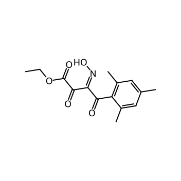 CCOC(=O)C(=O)C(=NO)C(=O)c1c(C)cc(C)cc1C